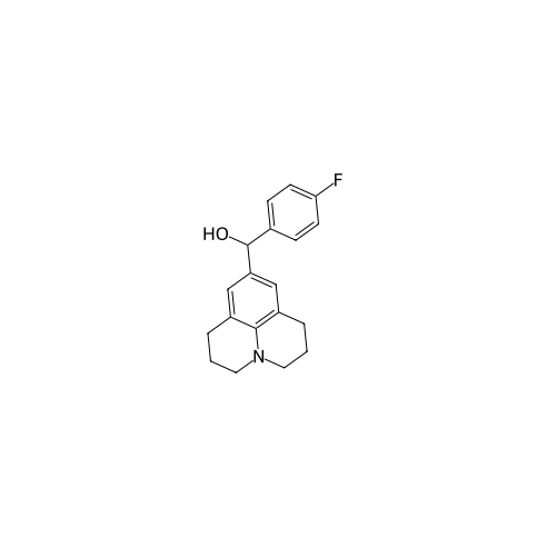 OC(c1ccc(F)cc1)c1cc2c3c(c1)CCCN3CCC2